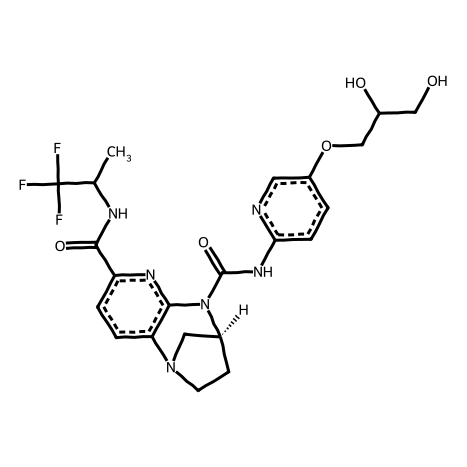 CC(NC(=O)c1ccc2c(n1)N(C(=O)Nc1ccc(OCC(O)CO)cn1)[C@H]1CCN2C1)C(F)(F)F